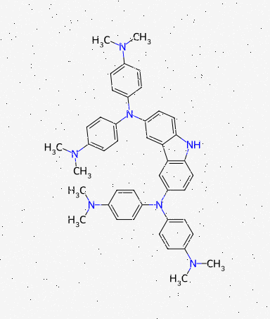 CN(C)c1ccc(N(c2ccc(N(C)C)cc2)c2ccc3[nH]c4ccc(N(c5ccc(N(C)C)cc5)c5ccc(N(C)C)cc5)cc4c3c2)cc1